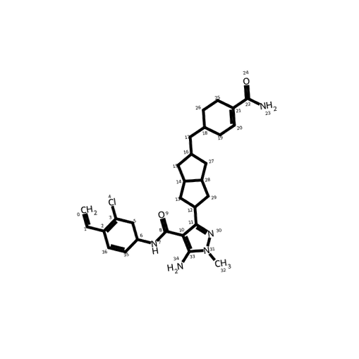 C=CC1=C(Cl)CC(NC(=O)c2c(C3CC4CC(CC5CC=C(C(N)=O)CC5)CC4C3)nn(C)c2N)C=C1